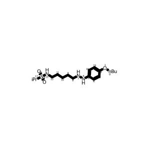 CCCCOc1ccc(NNCCCCCNS(=O)(=O)C(C)C)cc1